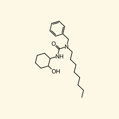 CCCCCCCCN(Cc1ccccc1)C(=O)NC1CCCCC1O